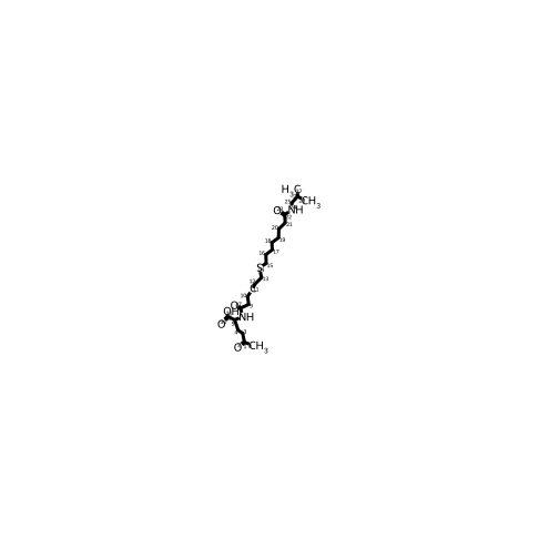 CC(=O)CCC(NC(=O)CCCCCSCCCCCCCC(=O)NCC(C)C)C(=O)O